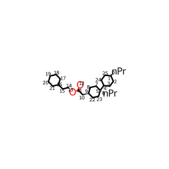 CCCC1CCC([C@]2(CCC)CC[C@H](CC(=O)OCCC3CCCCC3)CC2)CC1